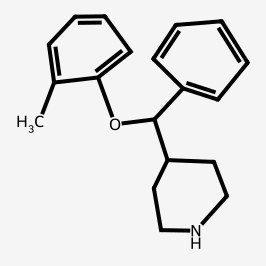 Cc1ccccc1OC(c1ccccc1)C1CCNCC1